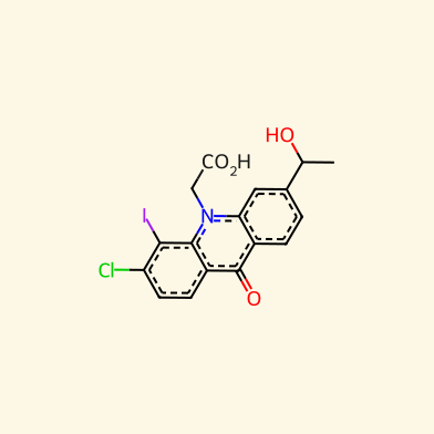 CC(O)c1ccc2c(=O)c3ccc(Cl)c(I)c3n(CC(=O)O)c2c1